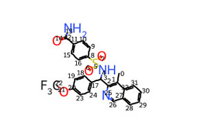 Cc1c(C(NS(=O)(=O)c2ccc(C(N)=O)cc2)c2ccc(OC(F)(F)F)cc2)ncc2ccccc12